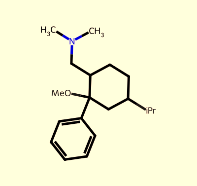 COC1(c2ccccc2)CC(C(C)C)CCC1CN(C)C